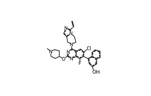 C=Cc1ncc2n1CCN(c1nc(OC3CCN(C)CC3)nc3c(F)c(-c4cc(O)cc5ccccc45)c(Cl)cc13)C2